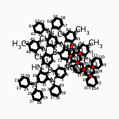 [C-]#[N+]c1ccc2c(c1)B1c3cc4c(cc3Nc3cc(N(c5ccccc5)c5ccccc5)cc(c31)N2c1ccccc1)N(c1c(C)cc(C)cc1C)c1cc(N(c2ccccc2)c2ccccc2)cc2c1B4c1cc3c(cc1N2c1c(C)cc(C)cc1C)N(c1c(C)cc(C)cc1C)c1cc(N(c2ccccc2)c2ccccc2)cc2c1B3c1cc(C#N)ccc1N2c1ccccc1